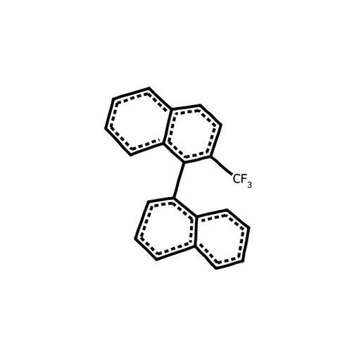 FC(F)(F)c1ccc2ccccc2c1-c1cccc2ccccc12